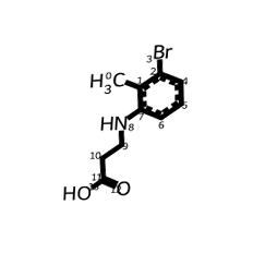 Cc1c(Br)cccc1NCCC(=O)O